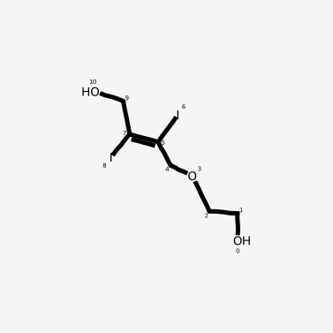 OCCOCC(I)=C(I)CO